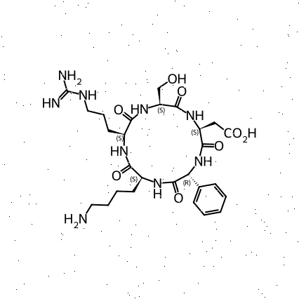 N=C(N)NCCC[C@@H]1NC(=O)[C@H](CCCCN)NC(=O)[C@@H](c2ccccc2)NC(=O)[C@H](CC(=O)O)NC(=O)[C@H](CO)NC1=O